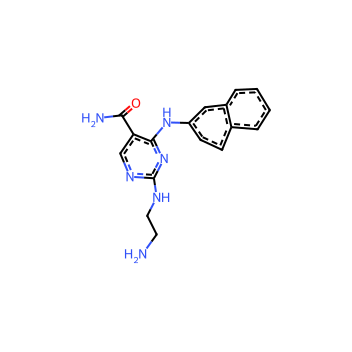 NCCNc1ncc(C(N)=O)c(Nc2ccc3ccccc3c2)n1